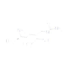 NC(=O)NCCCC[C@H](N)C(=O)O.NCC(=O)O